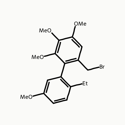 CCc1ccc(OC)cc1-c1c(CBr)cc(OC)c(OC)c1OC